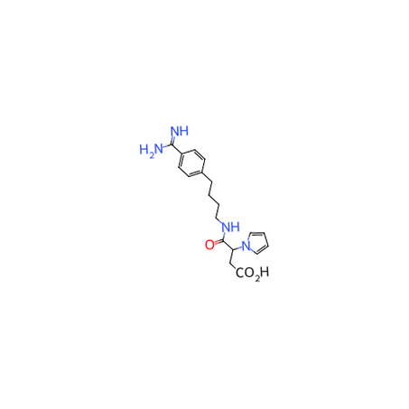 N=C(N)c1ccc(CCCCNC(=O)C(CC(=O)O)n2cccc2)cc1